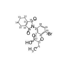 CCC(Oc1cc(N2C(=O)C3=C(CCCC3)C2=O)ccc1Br)C(=O)O